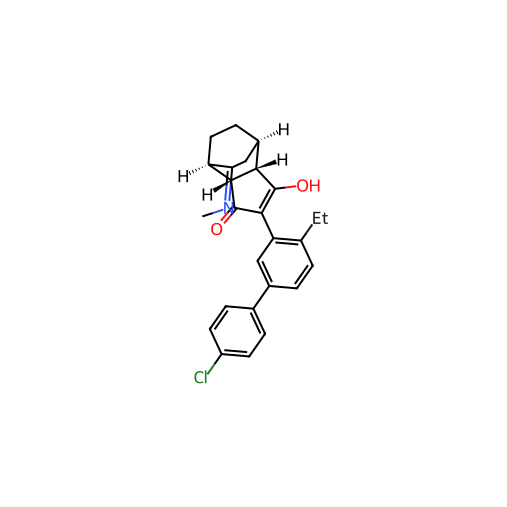 CCc1ccc(-c2ccc(Cl)cc2)cc1C1=C(O)[C@H]2[C@@H]3CC[C@@H](C(=NC)C3)[C@H]2C1=O